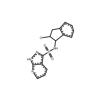 O=S(=O)(NC1c2ccccc2CC1Cl)c1n[nH]c2ncccc12